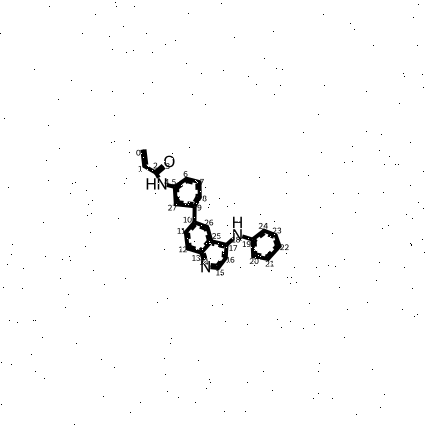 C=CC(=O)Nc1cccc(-c2ccc3nccc(Nc4ccccc4)c3c2)c1